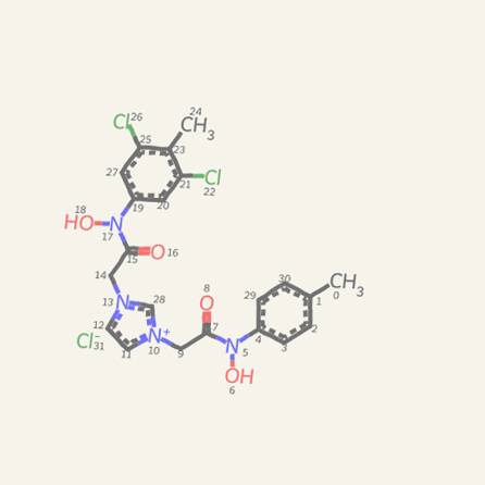 Cc1ccc(N(O)C(=O)C[n+]2ccn(CC(=O)N(O)c3cc(Cl)c(C)c(Cl)c3)c2)cc1.[Cl-]